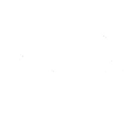 CC1(S)N=C2C1c1cc(N3CCC(N)C3)c(F)cc1C(=O)C2(S)C(=O)O